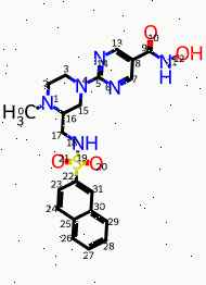 CN1CCN(c2ncc(C(=O)NO)cn2)CC1CNS(=O)(=O)c1ccc2ccccc2c1